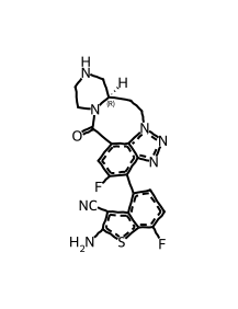 N#Cc1c(N)sc2c(F)ccc(-c3c(F)cc4c5c3nnn5CC[C@@H]3CNCCN3C4=O)c12